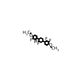 CCOc1ccc(C2CCC(c3ccc(OCC)c(F)c3F)C(F)(F)C2)c(F)c1F